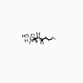 CC(N)(NC(=O)CCF)C(=O)O